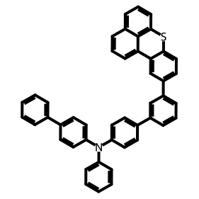 c1ccc(-c2ccc(N(c3ccccc3)c3ccc(-c4cccc(-c5ccc6c(c5)-c5cccc7cccc(c57)S6)c4)cc3)cc2)cc1